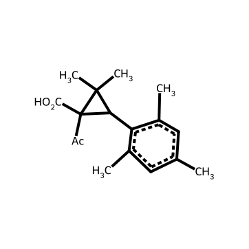 CC(=O)C1(C(=O)O)C(c2c(C)cc(C)cc2C)C1(C)C